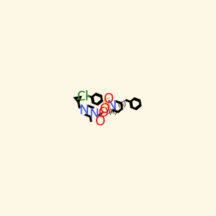 CC1CN(CC2CC2)CCN1C(=O)OC[C@H]1CC[C@@H](Cc2ccccc2)CN1S(=O)(=O)c1ccc(Cl)cc1